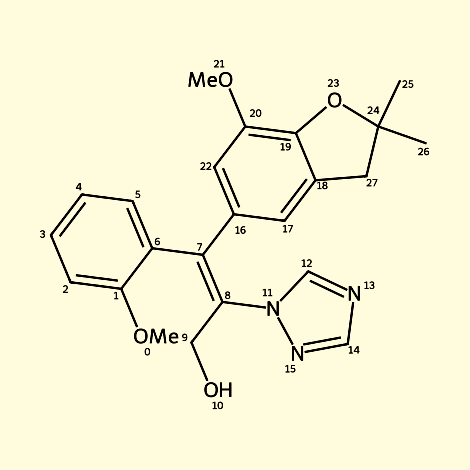 COc1ccccc1C(=C(CO)n1cncn1)c1cc2c(c(OC)c1)OC(C)(C)C2